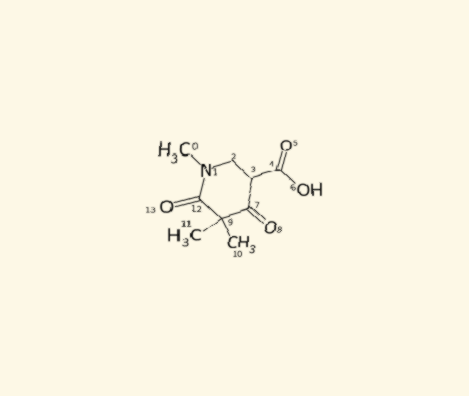 CN1CC(C(=O)O)C(=O)C(C)(C)C1=O